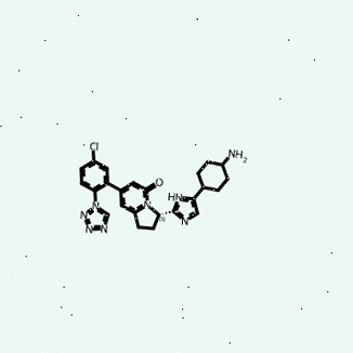 NC1CCC(c2cnc([C@@H]3CCc4cc(-c5cc(Cl)ccc5-n5cnnn5)cc(=O)n43)[nH]2)CC1